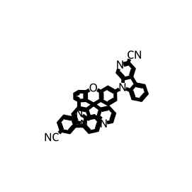 N#Cc1ccc2c(c1)c1ccccc1n2-c1cccc2c1C1(c3ccc(-n4c5ccccc5c5cc(C#N)ncc54)cc3O2)c2cccnc2-c2ncccc21